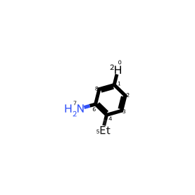 [2H]c1ccc(CC)c(N)c1